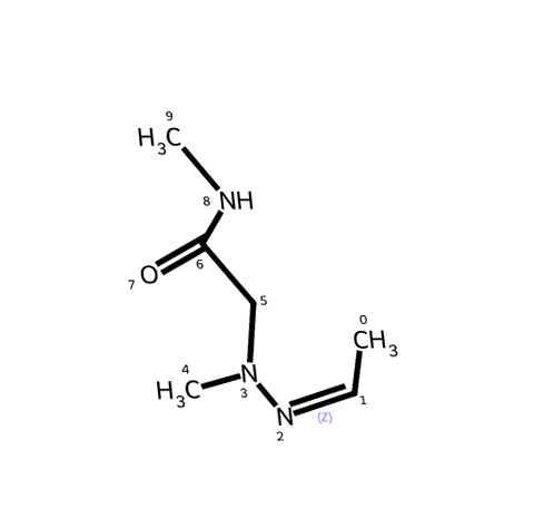 C/C=N\N(C)CC(=O)NC